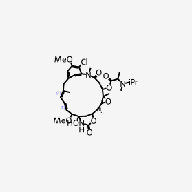 COc1cc2cc(c1Cl)N(C)C(=O)CC(OC(=O)C(C)N(C)C(C)C)C1(C)OC1[C@H](C)C1CC(O)(NC(=O)O1)C(OC)/C=C/C=C(\C)C2